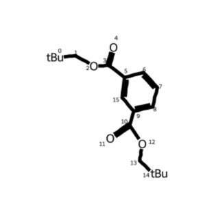 CC(C)(C)COC(=O)c1cccc(C(=O)OCC(C)(C)C)c1